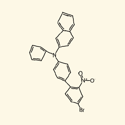 O=[N+]([O-])c1cc(Br)ccc1-c1ccc(N(c2ccccc2)c2ccc3ccccc3c2)cc1